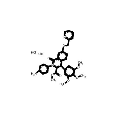 COC(=O)c1c(-c2cc(OC)c(OC)c(OC)c2)c2ccc(OCc3ccccn3)cc2c(=O)n1-c1ccc(N)cc1.Cl.Cl